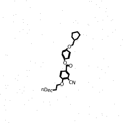 CCCCCCCCCCCCOc1ccc(C(=O)Oc2ccc(OCC3CC[CH]CC3)cc2)cc1C#N